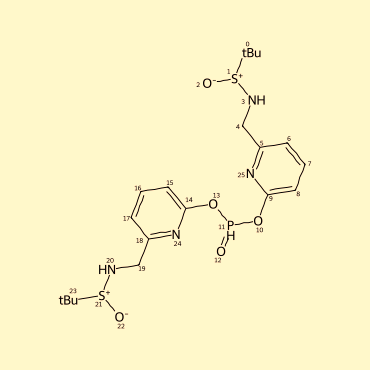 CC(C)(C)[S+]([O-])NCc1cccc(O[PH](=O)Oc2cccc(CN[S+]([O-])C(C)(C)C)n2)n1